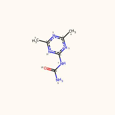 Cc1nc(C)nc(NC(N)=O)n1